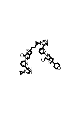 O=C1c2sc(CCC3CC3n3cnnc3-c3cccc(N4Cc5cc(C6CCOCC6)sc5C4=O)n3)cc2CN1c1cccc(-c2nncn2C2CC2)n1